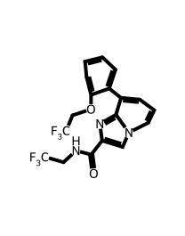 O=C(NCC(F)(F)F)c1cn2cccc(-c3ccccc3OCC(F)(F)F)c2n1